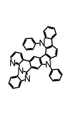 c1ccc(-n2c3cc4c(cc3c3c2ccc2c5ccccc5n(-c5ccccc5)c23)c2cccnc2n2c3ccccc3nc42)cc1